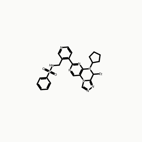 CCC1c2nncn2-c2cnc(-c3ccncc3CNS(=O)(=O)c3ccccc3)nc2N1C1CCCC1